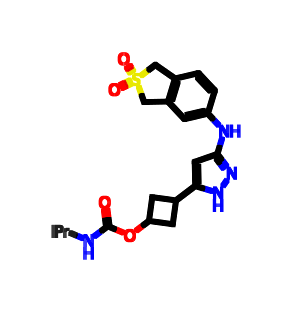 CC(C)NC(=O)OC1CC(c2cc(Nc3ccc4c(c3)CS(=O)(=O)C4)n[nH]2)C1